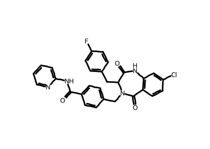 O=C(Nc1ccccn1)c1ccc(CN2C(=O)c3ccc(Cl)cc3NC(=O)C2Cc2ccc(F)cc2)cc1